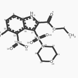 CCOC(=O)c1[nH]c2ccc(Br)c([N+](=O)[O-])c2c1S(=O)(=O)N1CCOCC1